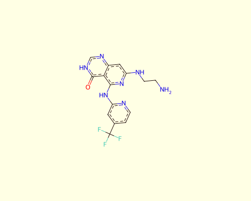 NCCNc1cc2nc[nH]c(=O)c2c(Nc2cc(C(F)(F)F)ccn2)n1